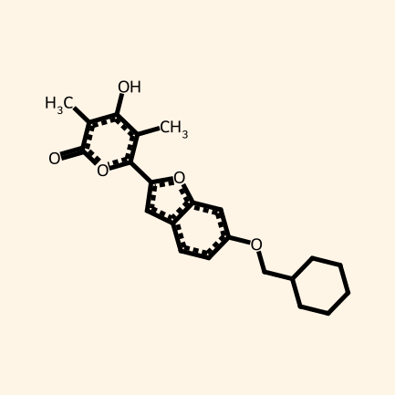 Cc1c(-c2cc3ccc(OCC4CCCCC4)cc3o2)oc(=O)c(C)c1O